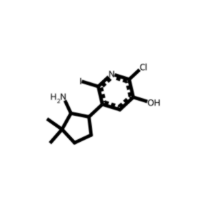 CC1(C)CCC(c2cc(O)c(Cl)nc2I)C1N